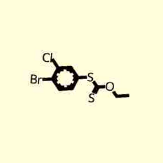 CCOC(=S)Sc1ccc(Br)c(Cl)c1